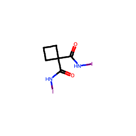 O=C(NI)C1(C(=O)NI)CCC1